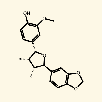 COc1cc([C@@H]2O[C@@H](c3ccc4c(c3)OCO4)[C@H](C)[C@@H]2C)ccc1O